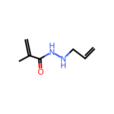 C=CCNNC(=O)C(=C)C